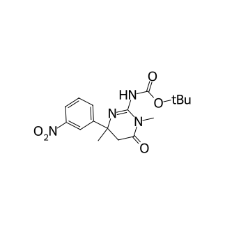 CN1C(=O)CC(C)(c2cccc([N+](=O)[O-])c2)N=C1NC(=O)OC(C)(C)C